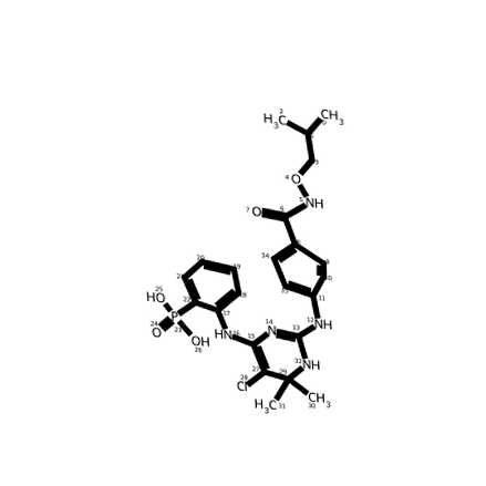 CC(C)CONC(=O)c1ccc(NC2=NC(Nc3ccccc3P(=O)(O)O)=C(Cl)C(C)(C)N2)cc1